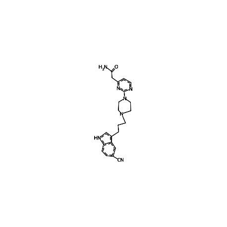 N#Cc1ccc2[nH]cc(CCCN3CCN(c4nccc(CC(N)=O)n4)CC3)c2c1